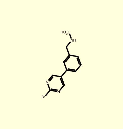 O=C(O)NCc1cccc(-c2cnc(Br)nc2)c1